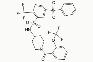 O=C(c1ccccc1OC(F)(F)F)N1CCC(NS(=O)(=O)c2cc(S(=O)(=O)c3ccccc3)ccc2C(F)(F)F)CC1